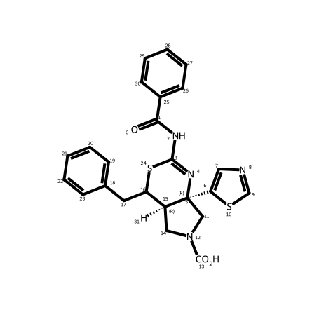 O=C(NC1=N[C@@]2(c3cncs3)CN(C(=O)O)C[C@H]2C(Cc2ccccc2)S1)c1ccccc1